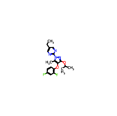 CCc1cnc(-n2nc(OC(C)C)c(Oc3ccc(F)cc3F)c2C)nc1